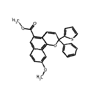 COC(=O)c1cc2ccc(OC)cc2c2c1C=CC(c1ccccc1)(c1cccs1)O2